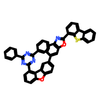 c1ccc(-c2nc(-c3ccccc3)nc(-c3cccc4oc5ccc(-c6ccc7nc(-c8cccc9c8sc8ccccc89)oc7c6)cc5c34)n2)cc1